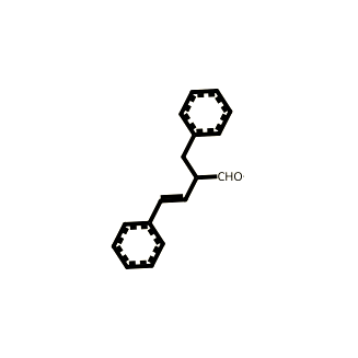 O=[C]C(/C=C/c1ccccc1)Cc1ccccc1